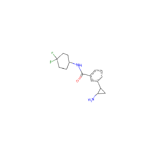 NC1CC1c1cccc(C(=O)NC2CCC(F)(F)CC2)c1